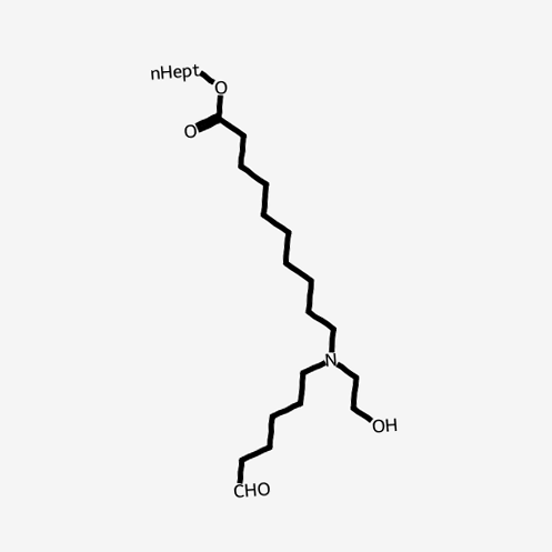 CCCCCCCOC(=O)CCCCCCCCCN(CCO)CCCCCC=O